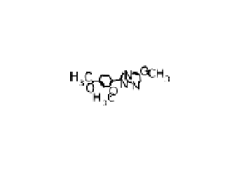 COc1cnc2nc(-c3ccc(C(C)=O)cc3OC)cn2c1